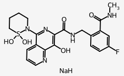 CNC(=O)c1cc(F)ccc1CNC(=O)c1nc(N2CCCCS2(O)O)c2cccnc2c1O.[NaH]